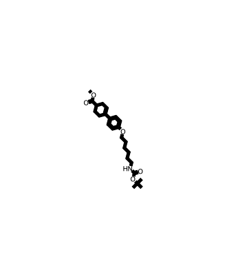 COC(=O)C1CC=C(c2ccc(OCCCCCCNC(=O)OC(C)(C)C)cc2)CC1